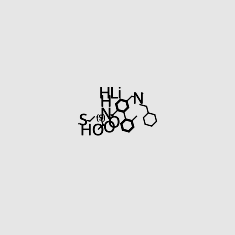 CSCC[C@H](NC(=O)c1ccc(CN(C)CCC2CCCCC2)cc1-c1ccccc1C)C(=O)O.[LiH]